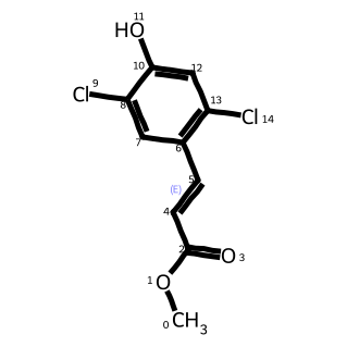 COC(=O)/C=C/c1cc(Cl)c(O)cc1Cl